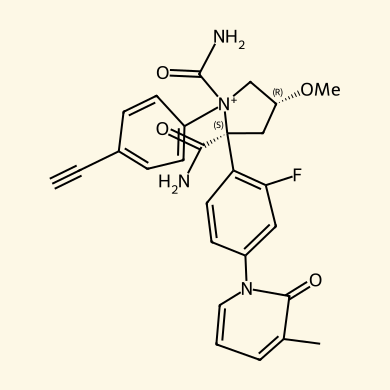 C#Cc1ccc([N+]2(C(N)=O)C[C@H](OC)C[C@@]2(C(N)=O)c2ccc(-n3cccc(C)c3=O)cc2F)cc1